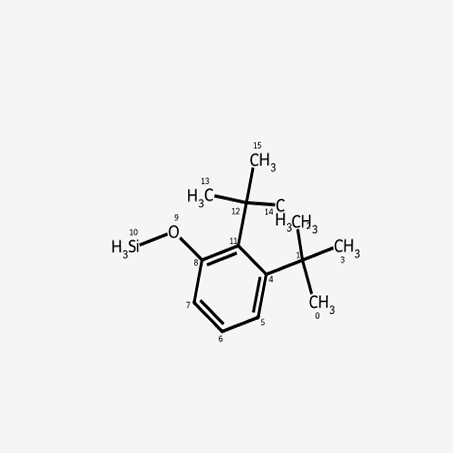 CC(C)(C)c1cccc(O[SiH3])c1C(C)(C)C